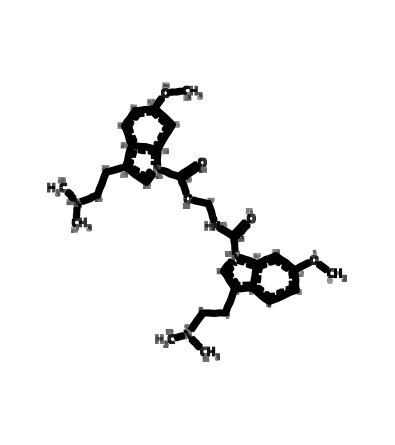 COc1ccc2c(CCN(C)C)cn(C(=O)NCOC(=O)n3cc(CCN(C)C)c4ccc(OC)cc43)c2c1